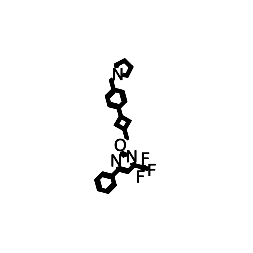 FC(F)(F)c1cc(-c2ccccc2)nc(OCC2CC(c3ccc(CN4CCCC4)cc3)C2)n1